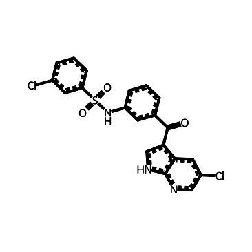 O=C(c1cccc(NS(=O)(=O)c2cccc(Cl)c2)c1)c1c[nH]c2ncc(Cl)cc12